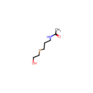 CC(=O)NCCCSCCO